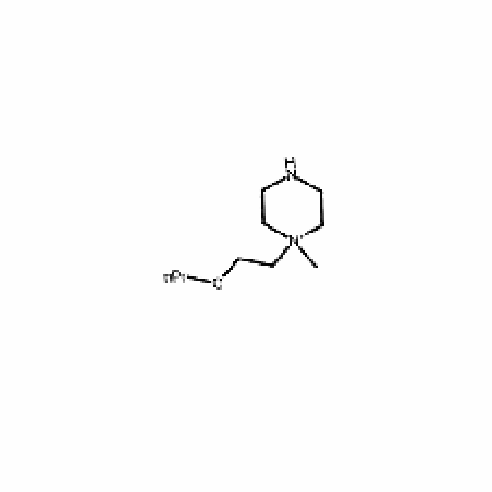 CCCOCC[N+]1(C)CCNCC1